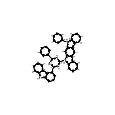 c1ccc(-c2nc(-c3cccc4oc5ccccc5c34)nc(-n3c4ccccc4c4cc5c6ccccc6n(-c6ccccc6)c5cc43)n2)cc1